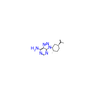 C=C(C)[C@H]1CC[C@H](C)[C@@H](n2nnc3c(N)ncnc32)C1